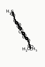 C=CC(=O)OCCCCOc1ccc(C(=O)Oc2ccc(OC(=O)c3ccc(OC(=O)c4ccc(OCCCCOC(=O)C(=C)C)cc4)cc3)cc2)cc1